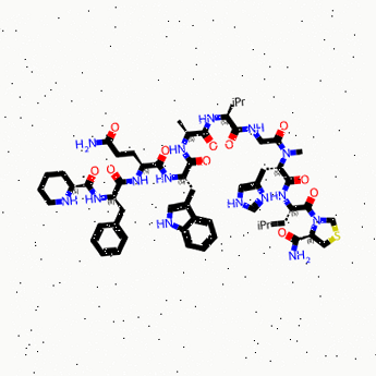 CC(C)C[C@H](NC(=O)[C@H](Cc1c[nH]cn1)N(C)C(=O)CNC(=O)[C@@H](NC(=O)[C@H](C)NC(=O)[C@H](Cc1c[nH]c2ccccc12)NC(=O)[C@H](CCC(N)=O)NC(=O)[C@@H](Cc1ccccc1)NC(=O)[C@@H]1CCCCN1)C(C)C)C(=O)N1CSC[C@H]1C(N)=O